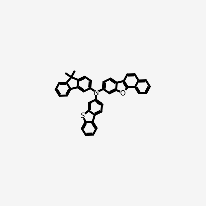 CC1(C)c2ccccc2-c2cc(N(c3ccc4c(c3)oc3c5ccccc5ccc43)c3ccc4c(c3)sc3ccccc34)ccc21